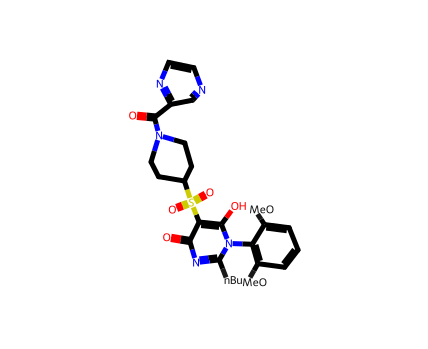 CCCCc1nc(=O)c(S(=O)(=O)C2CCN(C(=O)c3cnccn3)CC2)c(O)n1-c1c(OC)cccc1OC